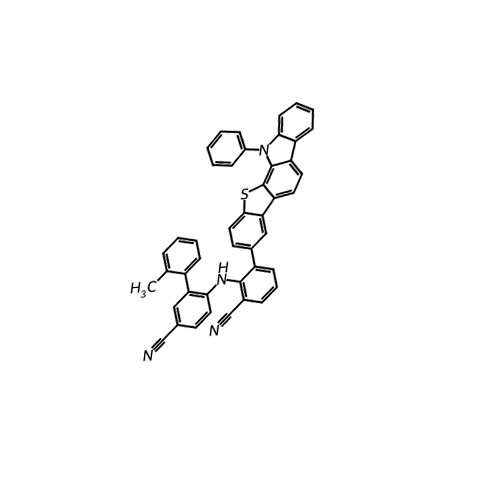 Cc1ccccc1-c1cc(C#N)ccc1Nc1c(C#N)cccc1-c1ccc2sc3c(ccc4c5ccccc5n(-c5ccccc5)c43)c2c1